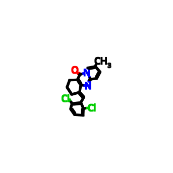 Cc1ccc2nc3c(c(=O)n2c1)CCCC3=Cc1c(Cl)cccc1Cl